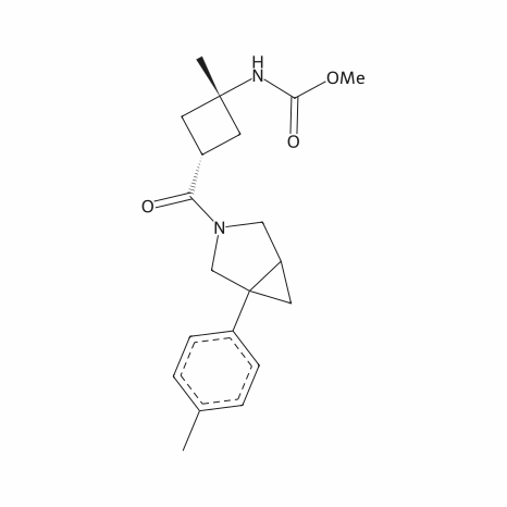 COC(=O)N[C@]1(C)C[C@H](C(=O)N2CC3CC3(c3ccc(C)cc3)C2)C1